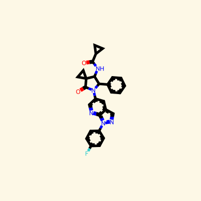 O=C(NC1C(c2ccccc2)N(c2cnc3c(cnn3-c3ccc(F)cc3)c2)C(=O)C12CC2)C1CC1